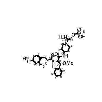 CCOc1ccc(C[C@@H](N)C(=O)N[C@H](C(=O)NC2CCN(/C(N)=N/OC(O)C(F)(F)F)CC2)[C@H](OC)c2ccccc2)cc1